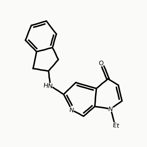 CCn1ccc(=O)c2cc(NC3Cc4ccccc4C3)ncc21